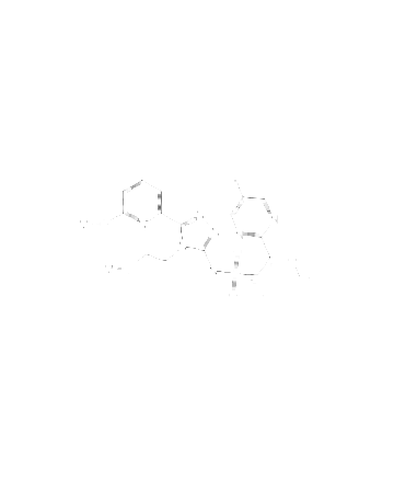 COCCn1c(NS(=O)(=O)[C@@H](C)[C@@H](OC(C)C)c2ncc(Cl)cn2)nnc1-c1cccc(OC)n1